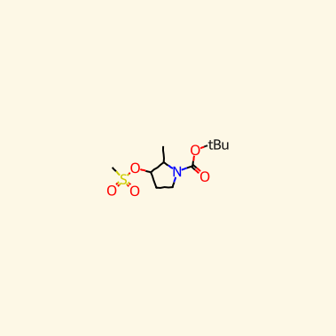 CC1C(OS(C)(=O)=O)CCN1C(=O)OC(C)(C)C